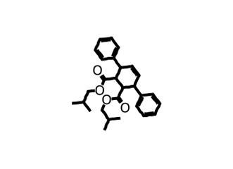 CC(C)COC(=O)C1C(c2ccccc2)C=CC(c2ccccc2)C1C(=O)OCC(C)C